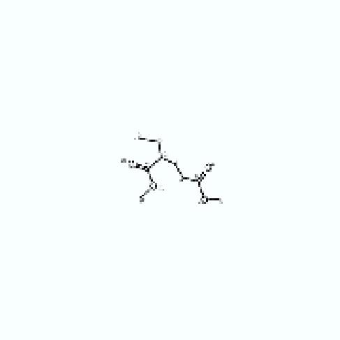 [CH2]CC(CCC(=O)OC)C(=O)OC